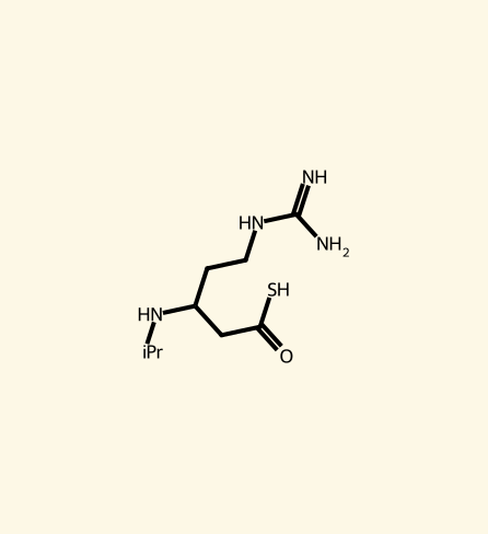 CC(C)NC(CCNC(=N)N)CC(=O)S